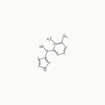 Cc1cccc(C(O)c2c[nH]cn2)c1C